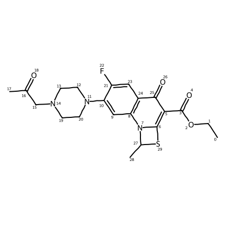 CCOC(=O)c1c2n(c3cc(N4CCN(CC(C)=O)CC4)c(F)cc3c1=O)C(C)S2